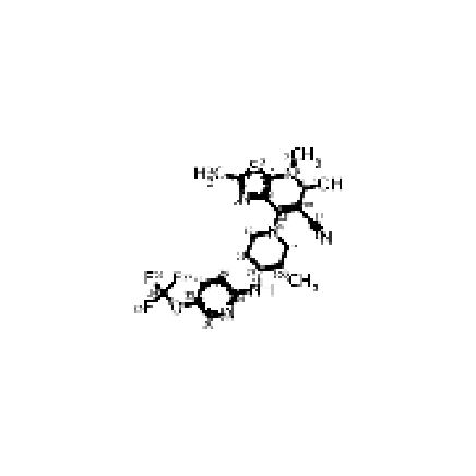 Cc1nc2c(s1)N(C)C(O)C(C#N)=C2N1CC[C@@H](Nc2ccc(OC(F)(F)F)cn2)[C@@H](C)C1